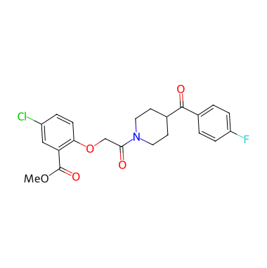 COC(=O)c1cc(Cl)ccc1OCC(=O)N1CCC(C(=O)c2ccc(F)cc2)CC1